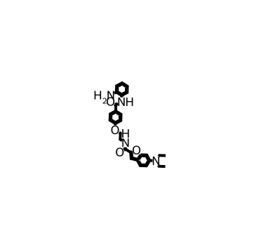 CCN(CC)c1ccc2cc(C(=O)NCCOc3ccc(C(=O)Nc4ccccc4N)cc3)oc2c1